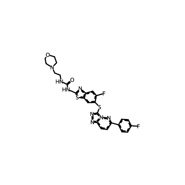 O=C(NCCN1CCOCC1)Nc1nc2cc(F)c(Sc3nnc4ccc(-c5ccc(F)cc5)nn34)cc2s1